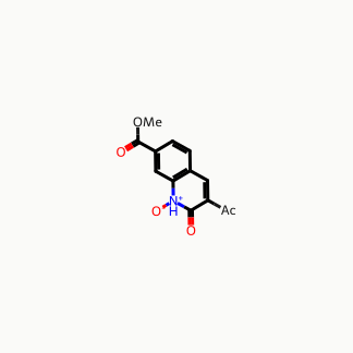 COC(=O)c1ccc2c(c1)[NH+]([O-])C(=O)C(C(C)=O)=C2